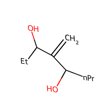 C=C(C(O)CC)C(O)CCC